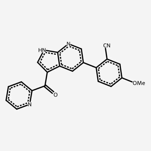 COc1ccc(-c2cnc3[nH]cc(C(=O)c4ccccn4)c3c2)c(C#N)c1